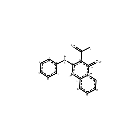 CC(=O)c1c(Nc2ccccc2)nc2ccccn2c1=O